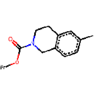 Cc1ccc2c(c1)CCN(C(=O)OC(C)C)C2